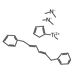 C(C=CCc1ccccc1)=CCc1ccccc1.C[N-]C.C[N-]C.[CH3][Ti+2][C]1=CC=CC1